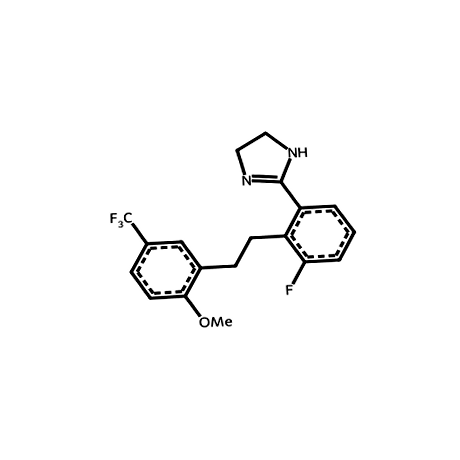 COc1ccc(C(F)(F)F)cc1CCc1c(F)cccc1C1=NCCN1